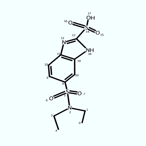 CCN(CC)S(=O)(=O)c1ccc2nc(S(=O)(=O)O)[nH]c2c1